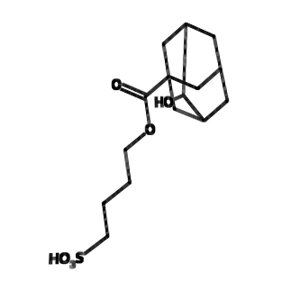 O=C(OCCCCS(=O)(=O)O)C12CC3CC(C1)C(O)C(C3)C2